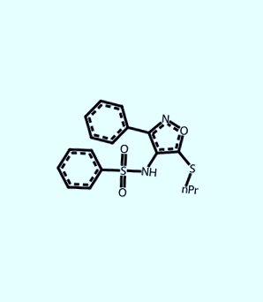 CCCSc1onc(-c2ccccc2)c1NS(=O)(=O)c1ccccc1